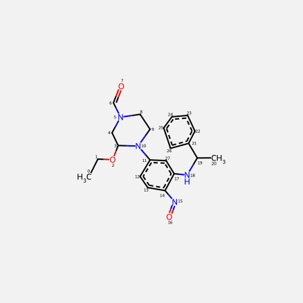 CCOC1CN(C=O)CCN1c1ccc(N=O)c(NC(C)c2ccccc2)c1